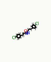 Clc1ccc(/C=C/c2nnc(/C=C/c3ccc(Cl)cc3)o2)cc1